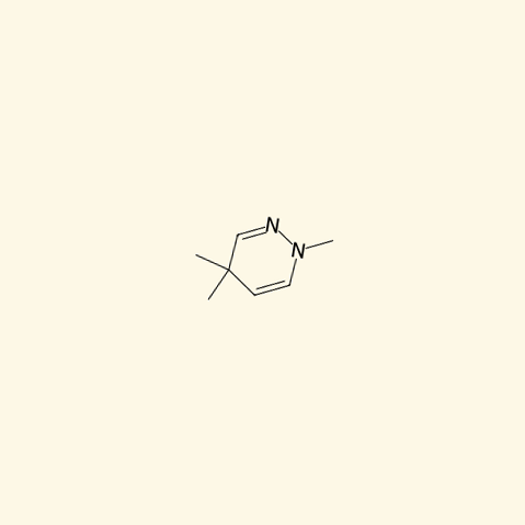 CN1C=CC(C)(C)C=N1